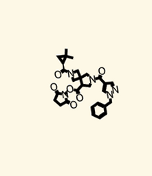 CC1(C)C[C@@H]1C(=O)N1CC2(CN(C(=O)c3cnn(Cc4ccccc4)c3)CC2C(=O)ON2C(=O)CCC2=O)C1